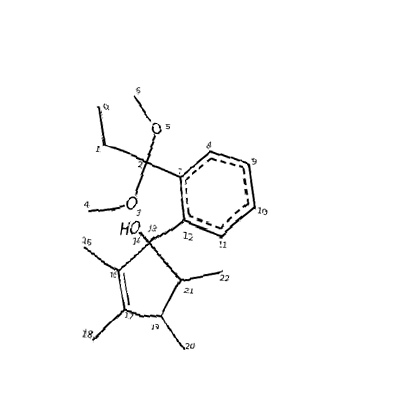 CCC(OC)(OC)c1ccccc1C1(O)C(C)=C(C)C(C)C1C